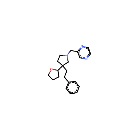 c1ccc(CCC2(C3CCCO3)CCN(Cc3cnccn3)C2)cc1